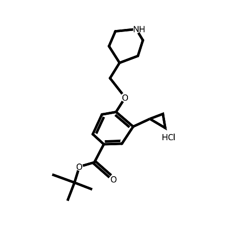 CC(C)(C)OC(=O)c1ccc(OCC2CCNCC2)c(C2CC2)c1.Cl